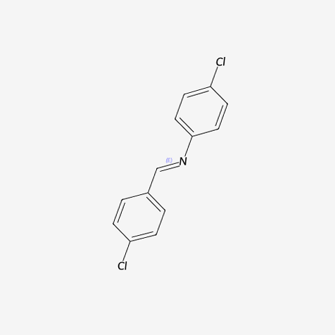 Clc1ccc(/C=N/c2ccc(Cl)cc2)cc1